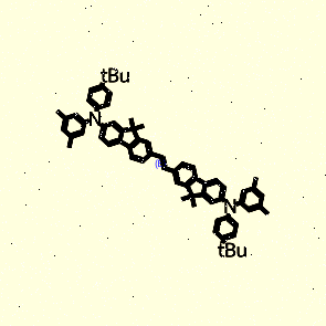 Cc1cc(C)cc(N(c2ccc(C(C)(C)C)cc2)c2ccc3c(c2)C(C)(C)c2cc(/C=C/c4ccc5c(c4)C(C)(C)c4cc(N(c6ccc(C(C)(C)C)cc6)c6cc(C)cc(C)c6)ccc4-5)ccc2-3)c1